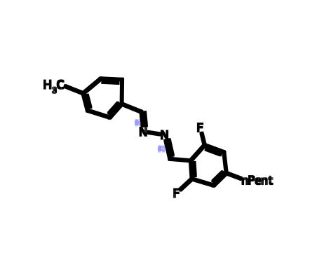 CCCCCc1cc(F)c(/C=N/N=C/c2ccc(C)cc2)c(F)c1